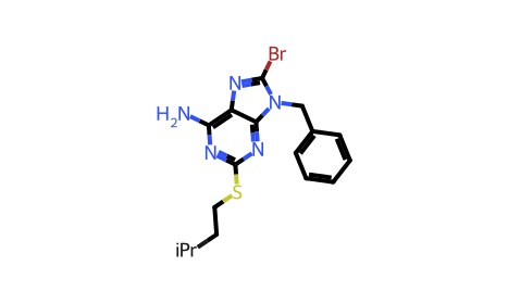 CC(C)CCSc1nc(N)c2nc(Br)n(Cc3ccccc3)c2n1